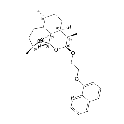 C[C@H]1[C@@H](OCCOc2cccc3cccnc23)O[C@@H]2O[C@@]3(C)CCC4[C@H](C)CC[C@@H]1[C@]42OO3